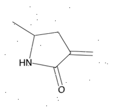 C=C1CC(C)NC1=O